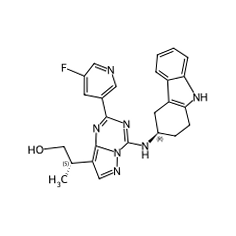 C[C@H](CO)c1cnn2c(N[C@@H]3CCc4[nH]c5ccccc5c4C3)nc(-c3cncc(F)c3)nc12